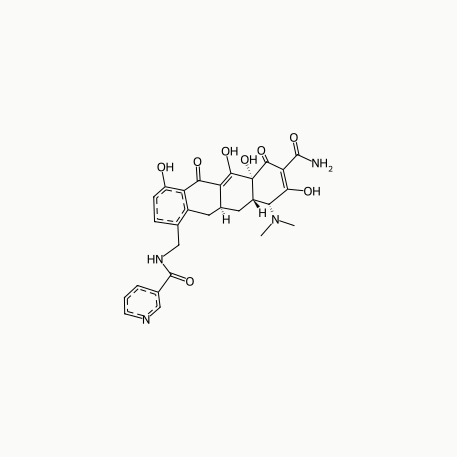 CN(C)[C@H]1C(O)=C(C(N)=O)C(=O)[C@]2(O)C(O)=C3C(=O)c4c(O)ccc(CNC(=O)c5cccnc5)c4C[C@@H]3C[C@@H]12